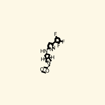 Fc1cc(F)c(F)c(-c2ccc(N[C@H]3C[C@@H]4CN(C[C@@H]5COCCO5)C[C@@H]4C3)nn2)c1